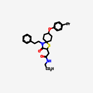 CC(C)c1ccc(OC2CCC3(CC2)SC(CC(=O)NCC(=O)O)C(=O)N3CCc2ccccc2)cc1